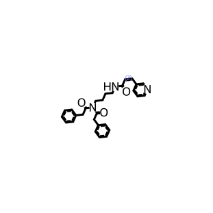 O=C(/C=C\c1cccnc1)NCCCCN(C(=O)Cc1ccccc1)C(=O)Cc1ccccc1